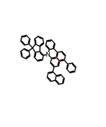 c1ccc(-c2ccc(-c3ccccc3N(c3cccc(-c4cccc5ccccc45)c3)c3cccc4c3-c3ccccc3C4(c3ccccc3)c3ccccc3)cc2)cc1